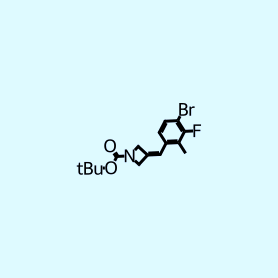 Cc1c(C=C2CN(C(=O)OC(C)(C)C)C2)ccc(Br)c1F